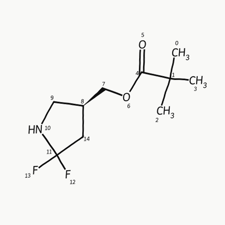 CC(C)(C)C(=O)OC[C@@H]1CNC(F)(F)C1